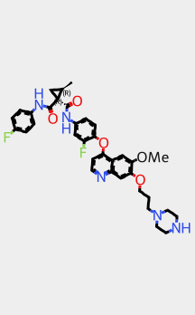 COc1cc2c(Oc3ccc(NC(=O)[C@]4(C(=O)Nc5ccc(F)cc5)C[C@H]4C)cc3F)ccnc2cc1OCCCN1CCNCC1